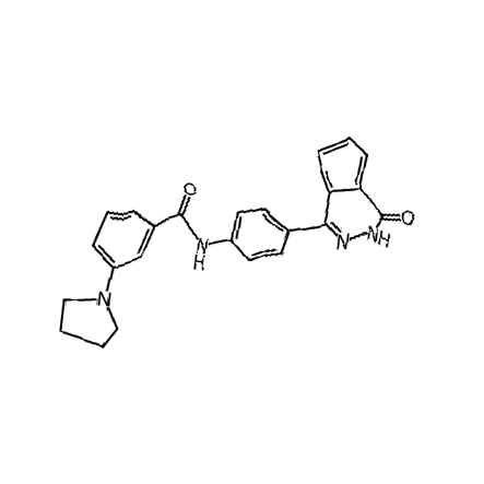 O=C(Nc1ccc(-c2n[nH]c(=O)c3ccccc23)cc1)c1cccc(N2CCCC2)c1